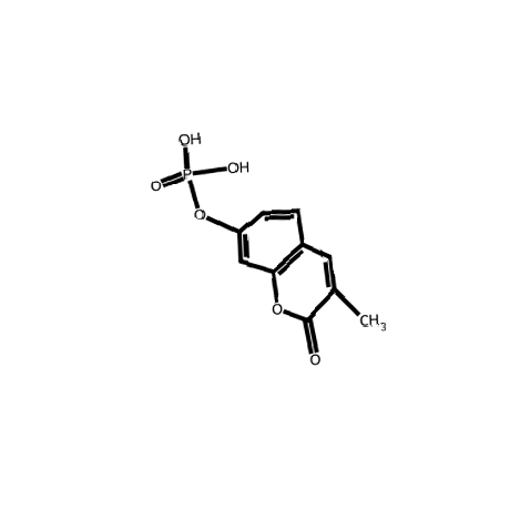 Cc1cc2ccc(OP(=O)(O)O)cc2oc1=O